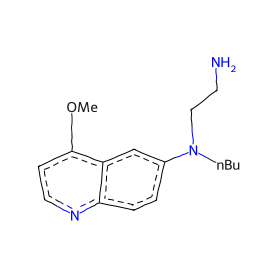 CCCCN(CCN)c1ccc2nccc(OC)c2c1